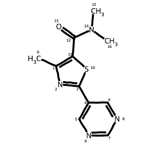 Cc1nc(-c2cncnc2)sc1C(=O)N(C)C